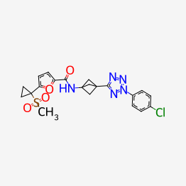 CS(=O)(=O)C1(c2ccc(C(=O)NC34CC(c5nnn(-c6ccc(Cl)cc6)n5)(C3)C4)o2)CC1